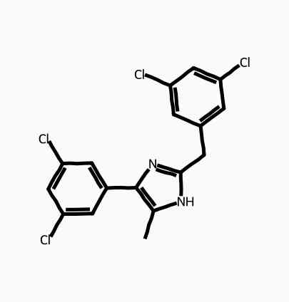 Cc1[nH]c(Cc2cc(Cl)cc(Cl)c2)nc1-c1cc(Cl)cc(Cl)c1